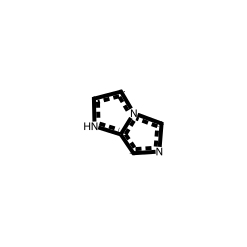 [c]1ncn2[c]c[nH]c12